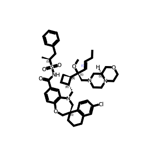 CC/C=C/[C@@](CN1CCN2CCOC[C@@H]2C1)(OC)[C@@H]1CC[C@H]1CN1C[C@@]2(CCCc3cc(Cl)ccc32)COc2ccc(C(=O)NS(=O)(=O)[C@@H](C)Cc3ccccc3)cc21